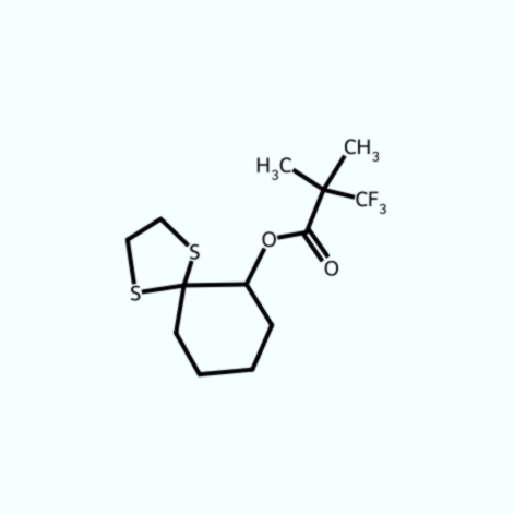 CC(C)(C(=O)OC1CCCCC12SCCS2)C(F)(F)F